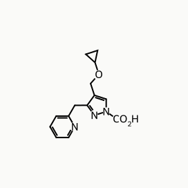 O=C(O)n1cc(COC2CC2)c(Cc2ccccn2)n1